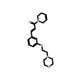 O=C(/C=C/c1cccc(OCCN2CCOCC2)c1)N1CC=CCC1